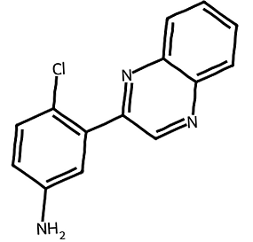 Nc1ccc(Cl)c(-c2cnc3ccccc3n2)c1